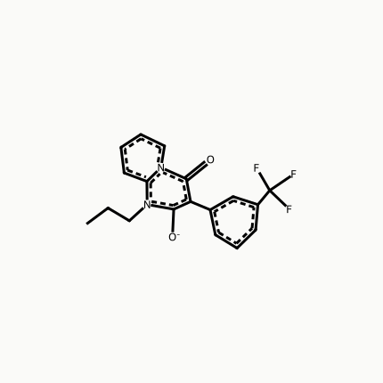 CCC[n+]1c([O-])c(-c2cccc(C(F)(F)F)c2)c(=O)n2ccccc21